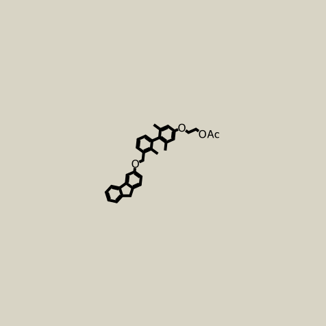 CC(=O)OCCOc1cc(C)c(-c2cccc(COc3ccc4c(c3)-c3ccccc3C4)c2C)c(C)c1